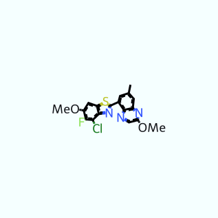 COc1cnc2c(-c3nc4c(Cl)c(F)c(OC)cc4s3)cc(C)cc2n1